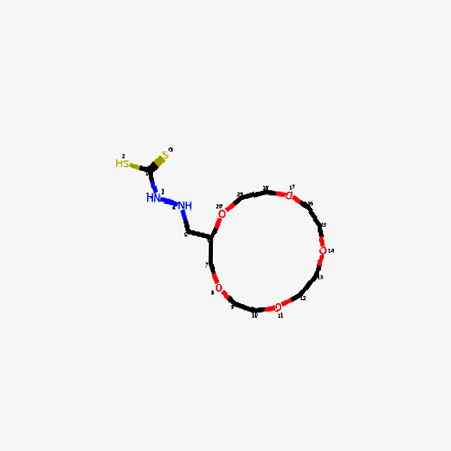 S=C(S)NNCC1COCCOCCOCCOCCO1